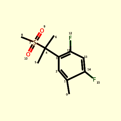 Cc1cc(C(C)(C)S(C)(=O)=O)c(F)cc1F